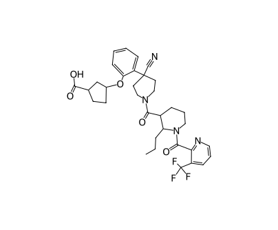 CCCC1C(C(=O)N2CCC(C#N)(c3ccccc3OC3CCC(C(=O)O)C3)CC2)CCCN1C(=O)c1ncccc1C(F)(F)F